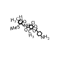 CSc1cc(C)[nH]c(=O)c1CNC(=O)c1cc(Cl)c2c(c1C)OC(C1CCC(N)CC1)CO2